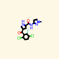 Cn1ccc(NC(=O)c2cc(C(=O)c3c(Cl)ccc(Cl)c3F)c[nH]2)n1